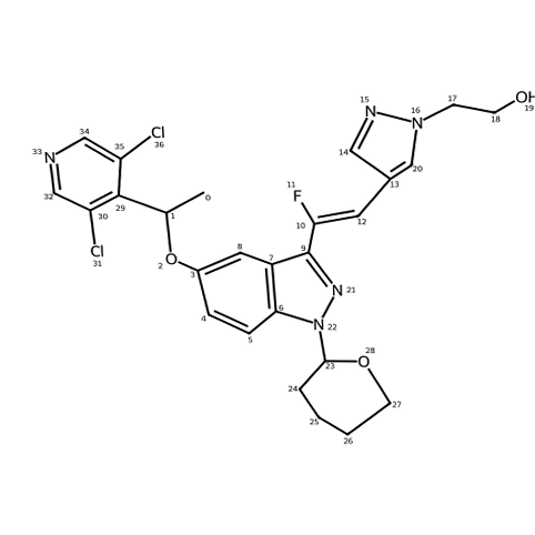 CC(Oc1ccc2c(c1)c(C(F)=Cc1cnn(CCO)c1)nn2C1CCCCO1)c1c(Cl)cncc1Cl